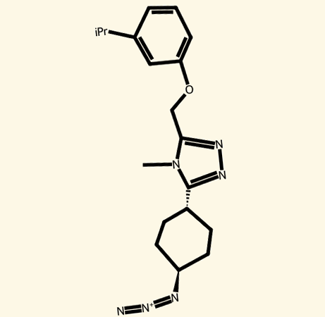 CC(C)c1cccc(OCc2nnc([C@H]3CC[C@H](N=[N+]=[N-])CC3)n2C)c1